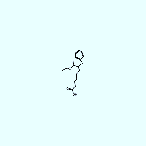 CCOC(=O)C(CCCCCC(=O)O)Sc1ccccc1